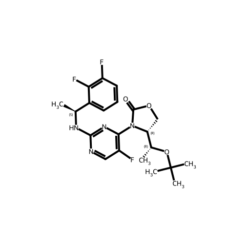 C[C@H](Nc1ncc(F)c(N2C(=O)OC[C@@H]2[C@@H](C)OC(C)(C)C)n1)c1cccc(F)c1F